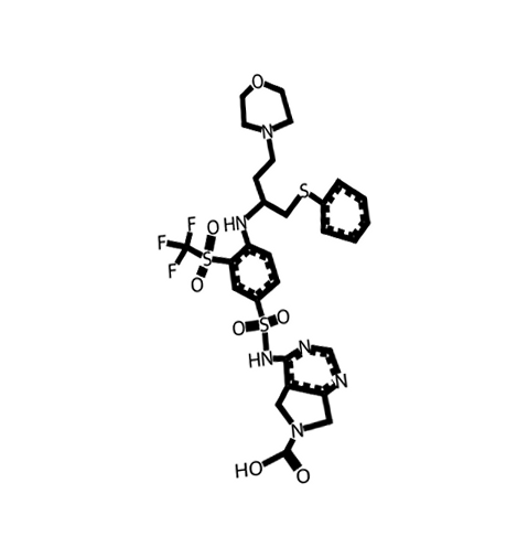 O=C(O)N1Cc2ncnc(NS(=O)(=O)c3ccc(NC(CCN4CCOCC4)CSc4ccccc4)c(S(=O)(=O)C(F)(F)F)c3)c2C1